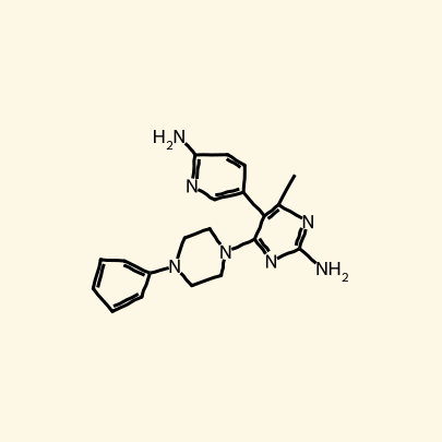 Cc1nc(N)nc(N2CCN(c3ccccc3)CC2)c1-c1ccc(N)nc1